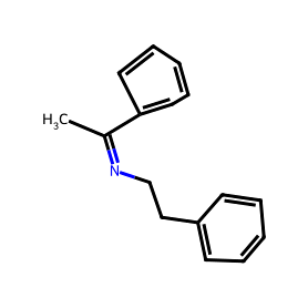 CC(=NCCc1ccccc1)c1ccccc1